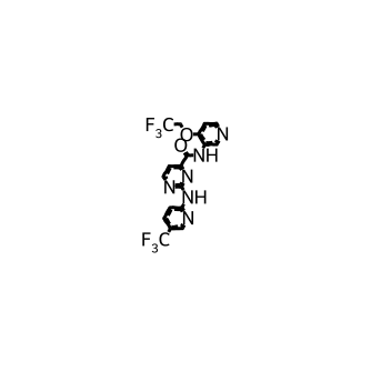 O=C(Nc1cnccc1OCC(F)(F)F)c1ccnc(Nc2ccc(C(F)(F)F)cn2)n1